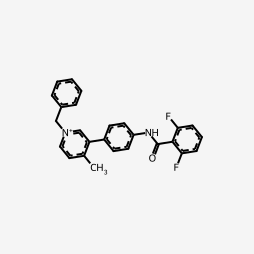 Cc1cc[n+](Cc2ccccc2)cc1-c1ccc(NC(=O)c2c(F)cccc2F)cc1